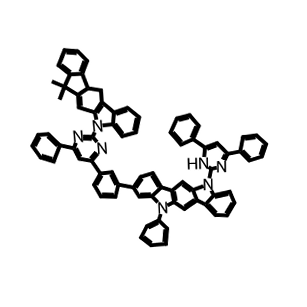 CC1(C)C2=Cc3c(c4ccccc4n3-c3nc(-c4ccccc4)cc(-c4cccc(-c5ccc6c7cc8c(cc7n(-c7ccccc7)c6c5)c5ccccc5n8C5N=C(c6ccccc6)C=C(c6ccccc6)N5)c4)n3)CC2c2ccccc21